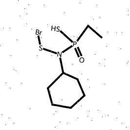 CCP(=O)(S)N(SBr)C1CCCCC1